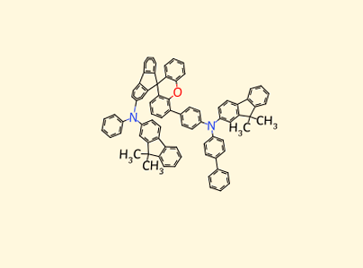 CC1(C)c2ccccc2-c2ccc(N(c3ccc(-c4ccccc4)cc3)c3ccc(-c4cccc5c4Oc4ccccc4C54c5ccccc5-c5ccc(N(c6ccccc6)c6ccc7c(c6)C(C)(C)c6ccccc6-7)cc54)cc3)cc21